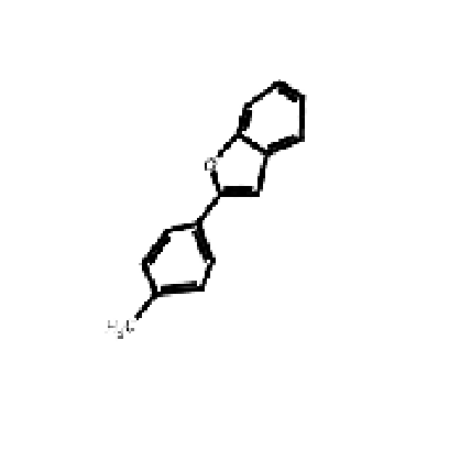 Cc1ccc(-c2cc3ccccc3o2)cc1